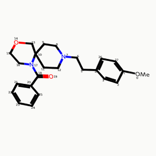 COc1ccc(CCN2CCC3(CC2)COCCN3C(=O)c2ccccc2)cc1